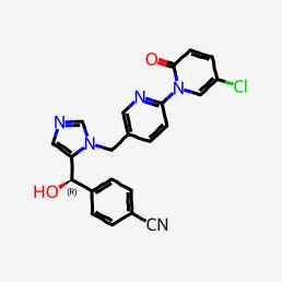 N#Cc1ccc([C@@H](O)c2cncn2Cc2ccc(-n3cc(Cl)ccc3=O)nc2)cc1